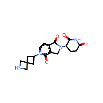 O=C1CC[C@@H](N2Cc3c(ccn(C4CC5(CNC5)C4)c3=O)C2=O)C(=O)N1